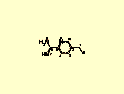 CCc1ccc(C(=N)N)nc1